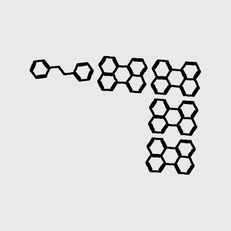 c1cc2cccc3c4cccc5cccc(c(c1)c23)c54.c1cc2cccc3c4cccc5cccc(c(c1)c23)c54.c1cc2cccc3c4cccc5cccc(c(c1)c23)c54.c1cc2cccc3c4cccc5cccc(c(c1)c23)c54.c1ccc(CCc2ccccc2)cc1